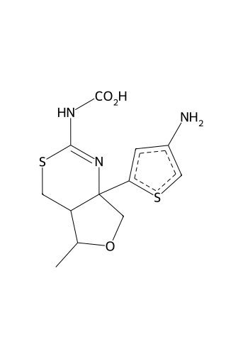 CC1OCC2(c3cc(N)cs3)N=C(NC(=O)O)SCC12